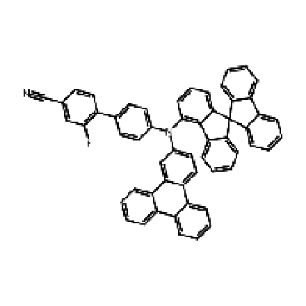 N#Cc1ccc(-c2ccc(N(c3ccc4c5ccccc5c5ccccc5c4c3)c3cccc4c3-c3ccccc3C43c4ccccc4-c4ccccc43)cc2)c(F)c1